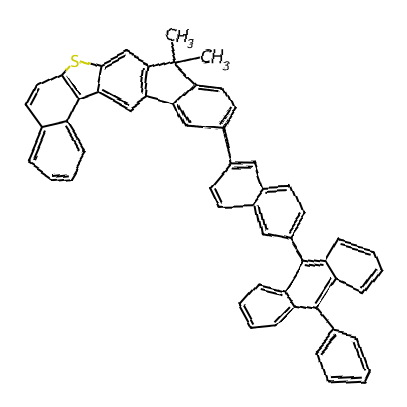 CC1(C)c2ccc(-c3ccc4cc(-c5c6ccccc6c(-c6ccccc6)c6ccccc56)ccc4c3)cc2-c2cc3c(cc21)sc1ccc2ccccc2c13